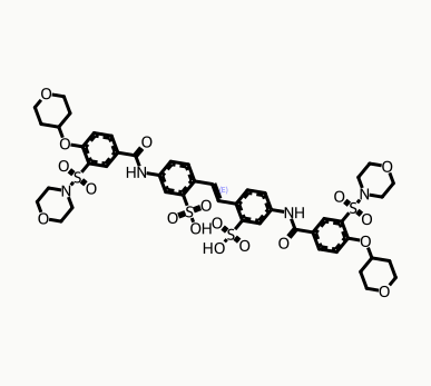 O=C(Nc1ccc(/C=C/c2ccc(NC(=O)c3ccc(OC4CCOCC4)c(S(=O)(=O)N4CCOCC4)c3)cc2S(=O)(=O)O)c(S(=O)(=O)O)c1)c1ccc(OC2CCOCC2)c(S(=O)(=O)N2CCOCC2)c1